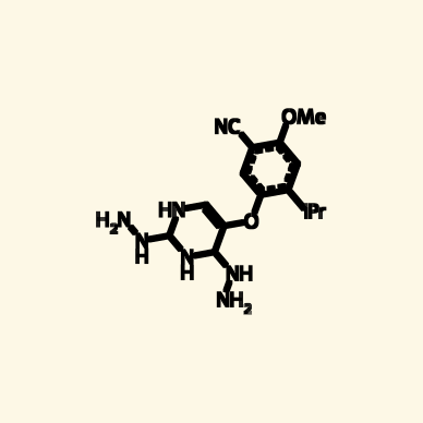 COc1cc(C(C)C)c(OC2=CNC(NN)NC2NN)cc1C#N